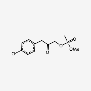 COP(C)(=O)OCC(=O)Cc1ccc(Cl)cc1